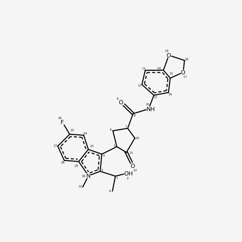 CC(O)c1c(C2CC(C(=O)Nc3ccc4c(c3)OCO4)CC2=O)c2cc(F)ccc2n1C